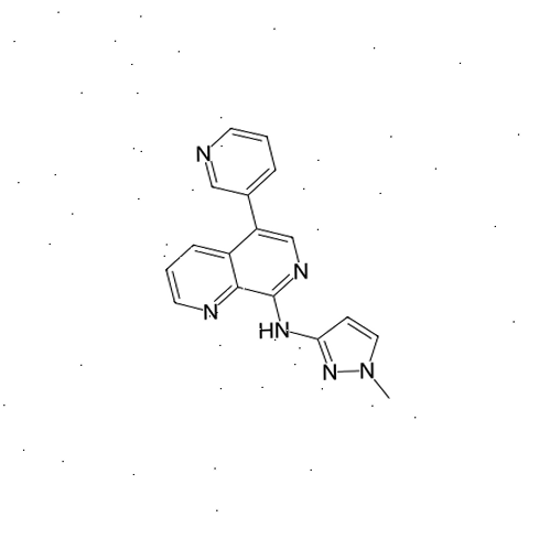 Cn1ccc(Nc2ncc(-c3cccnc3)c3cccnc23)n1